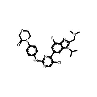 CC(C)n1c(CN(C)C)nc2c(F)cc(-c3nc(Nc4ccc(N5CCOCC5=O)cc4)ncc3Cl)cc21